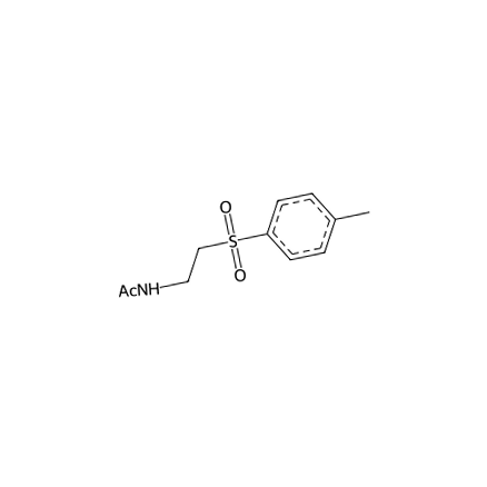 CC(=O)NCCS(=O)(=O)c1ccc(C)cc1